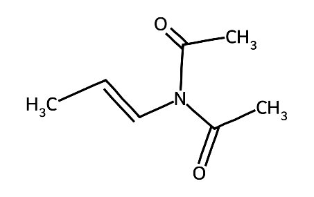 C/C=C/N(C(C)=O)C(C)=O